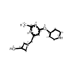 OC1CN(Cc2cc(OC3CCNCC3)nc(C(F)(F)F)n2)C1